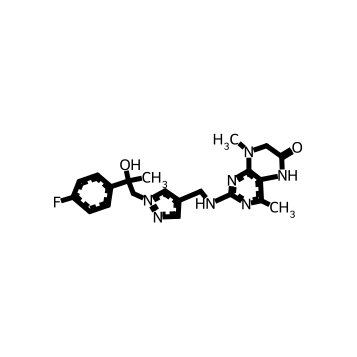 Cc1nc(NCc2cnn(CC(C)(O)c3ccc(F)cc3)c2)nc2c1NC(=O)CN2C